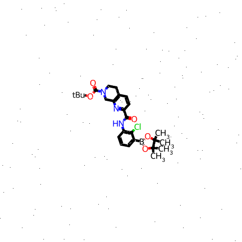 CC(C)(C)OC(=O)N1CCc2ccc(C(=O)Nc3cccc(B4OC(C)(C)C(C)(C)O4)c3Cl)nc2C1